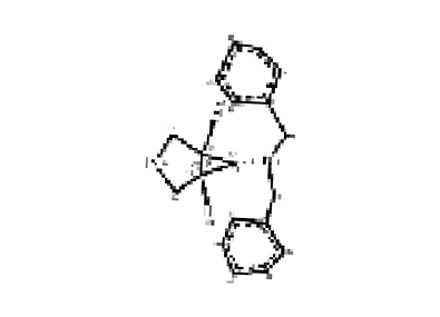 c1ccc(CN(Cc2ccccc2)[C@@H]2[C@@H]3CNC[C@@H]32)cc1